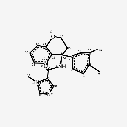 Cc1ccc([C@@]2(NC(=O)c3cncn3C)CCOc3cccnc32)cc1F